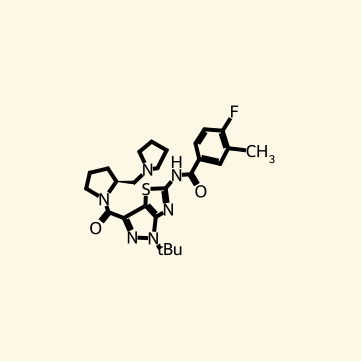 Cc1cc(C(=O)Nc2nc3c(s2)c(C(=O)N2CCC[C@H]2CN2CCCC2)nn3C(C)(C)C)ccc1F